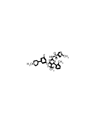 Cc1ccccc1-c1nc(NS(=O)(=O)c2cnn(C)c2)nc(Oc2cc(F)cc(C3CCN(C)CC3)c2)c1C(F)(F)C(F)(F)F